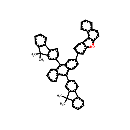 CC1(C)c2ccccc2-c2ccc(-c3c4ccccc4c(-c4ccc5c(c4)C(C)(C)c4ccccc4-5)c4cc(-c5ccc6c(c5)oc5ccc7ccccc7c56)ccc34)cc21